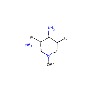 CCC1CN(OC(C)=O)CC(CC)C1N.N